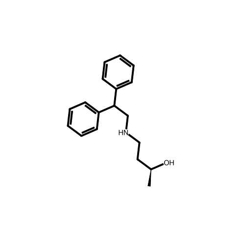 C[C@H](O)CCNCC(c1ccccc1)c1ccccc1